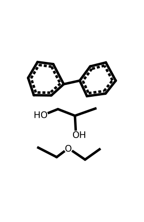 CC(O)CO.CCOCC.c1ccc(-c2ccccc2)cc1